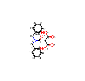 O=C(O)CC(=O)O.O=CN(Cc1ccccc1)Cc1ccccc1